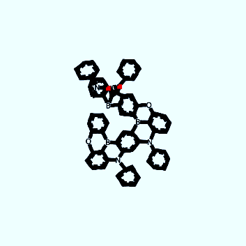 c1ccc(N2c3cc4c(cc3B3c5ccccc5Oc5cccc2c53)B2c3cc5c(cc3Oc3cccc(c32)N4c2ccccc2)N(c2ccccc2)c2cccc3c2B5c2ccccc2N3c2ccccc2)cc1